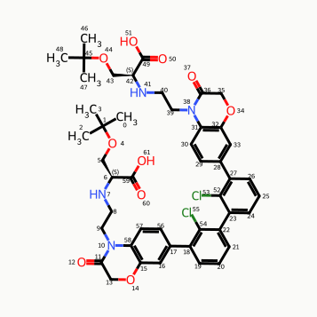 CC(C)(C)OC[C@H](NCCN1C(=O)COc2cc(-c3cccc(-c4cccc(-c5ccc6c(c5)OCC(=O)N6CCN[C@@H](COC(C)(C)C)C(=O)O)c4Cl)c3Cl)ccc21)C(=O)O